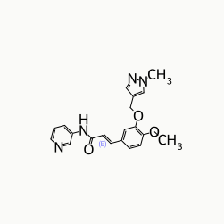 COc1ccc(/C=C/C(=O)Nc2cccnc2)cc1OCc1cnn(C)c1